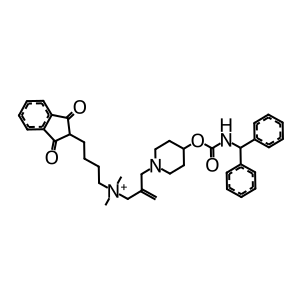 C=C(CN1CCC(OC(=O)NC(c2ccccc2)c2ccccc2)CC1)C[N+](C)(C)CCCCC1C(=O)c2ccccc2C1=O